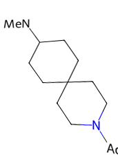 CNC1CCC2(CC1)CCN(C(C)=O)CC2